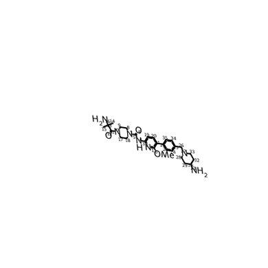 COc1nc(NC(=O)N2CCN(C(=O)C(C)(C)N)CC2)ccc1-c1ccc(CN2CCC(N)CC2)cc1